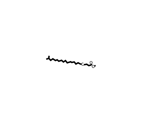 COC(=O)CCCCCCCCCCCCCCCCCCCC(C)C